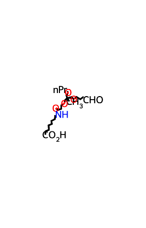 CCCOCC(C)(COCCCC=O)COCCC(=O)NCCCCCCCC(=O)O